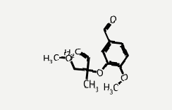 C=CC(C)(COC)Oc1cc(C=O)ccc1OC